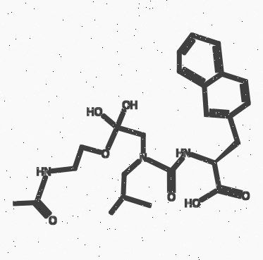 CC(=O)NCCOC(O)(O)CN(CC(C)C)C(=O)N[C@@H](Cc1ccc2ccccc2c1)C(=O)O